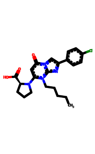 CCCCCn1c(N2CCC[C@H]2C(=O)O)cc(=O)n2cc(-c3ccc(Cl)cc3)nc12